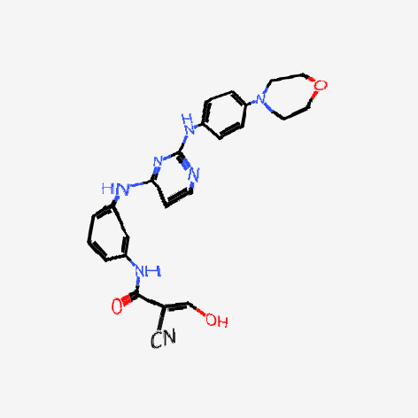 N#CC(=CO)C(=O)Nc1cccc(Nc2ccnc(Nc3ccc(N4CCOCC4)cc3)n2)c1